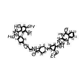 CCOc1cc(N2CCC(C(=O)NCCOc3ccc(-n4c(O)nnc4-c4cc(C(C)C)c(O)cc4O)cc3)CC2)ccc1Nc1ncc2c(n1)N(C)c1ccccc1C(=O)N2C